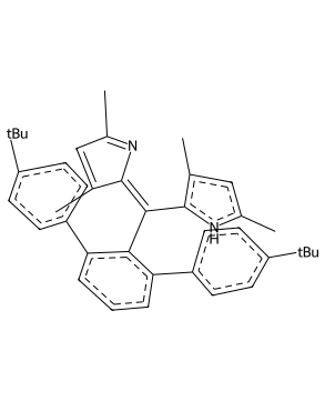 CC1=CC(C)=N/C1=C(\c1[nH]c(C)cc1C)c1c(-c2ccc(C(C)(C)C)cc2)cccc1-c1ccc(C(C)(C)C)cc1